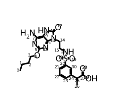 CCCCOc1nc(N)c2[nH]c(=O)n(CCNS(=O)(=O)c3cccc(C(C)C(=O)O)c3)c2n1